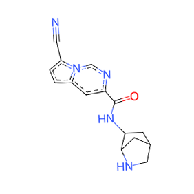 N#Cc1ccc2cc(C(=O)NC3CC4CNC3C4)ncn12